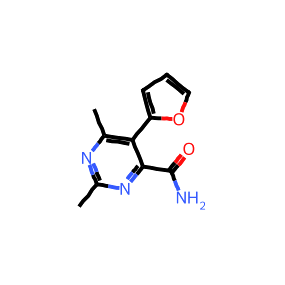 Cc1nc(C)c(-c2ccco2)c(C(N)=O)n1